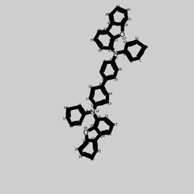 c1ccc(N(c2ccc(-c3ccc(N(c4ccccc4)c4cccc5c4oc4ccccc45)cc3)cc2)c2cccc3c2oc2ccccc23)cc1